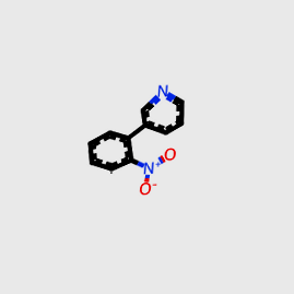 O=[N+]([O-])c1[c]cccc1-c1cccnc1